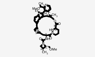 CCn1c(-c2cccnc2[C@H](C)OC)c2c3cc(ccc31)-c1csc(n1)C[C@H](NC(=O)N1C[C@@H](C)[C@H]1COC)C(=O)N1CCC[C@H](N1)C(=O)OCC(C)(C)C2